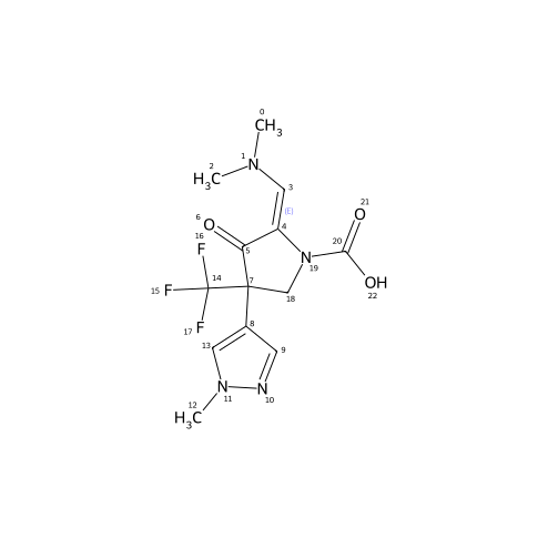 CN(C)/C=C1\C(=O)C(c2cnn(C)c2)(C(F)(F)F)CN1C(=O)O